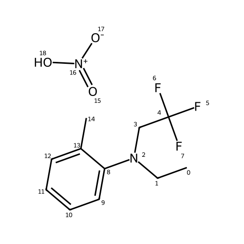 CCN(CC(F)(F)F)c1ccccc1C.O=[N+]([O-])O